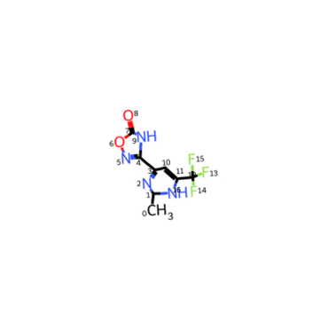 CC1N=C(c2noc(=O)[nH]2)C=C(C(F)(F)F)N1